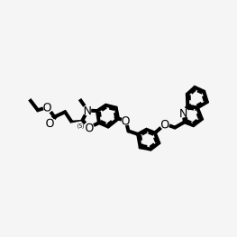 CCOC(=O)CC[C@@H]1Oc2cc(OCc3cccc(OCc4ccc5ccccc5n4)c3)ccc2N1C